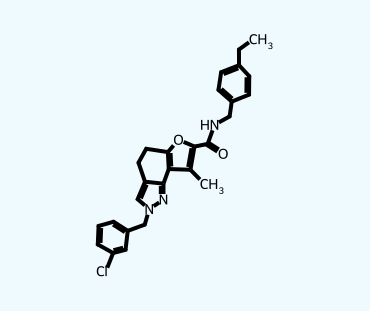 CCc1ccc(CNC(=O)c2oc3c(c2C)-c2nn(Cc4cccc(Cl)c4)cc2CC3)cc1